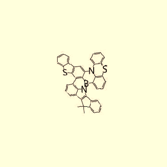 CC1(C)c2ccccc2-c2c1c1cccc3c1n2B1c2cccc4c2N(c2ccccc2S4)c2cc4c(sc5ccccc54)c-3c21